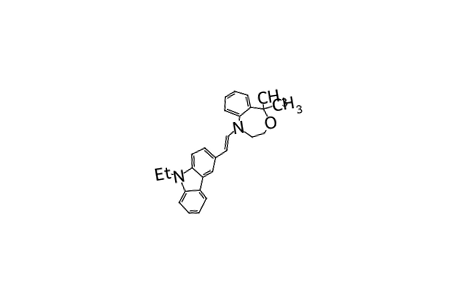 CCn1c2ccccc2c2cc(/C=C/N3CCOC(C)(C)c4ccccc43)ccc21